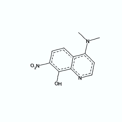 CN(C)c1ccnc2c(O)c([N+](=O)[O-])ccc12